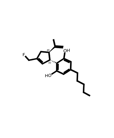 C=C(C)[C@@H]1CC(CF)=C[C@H]1c1c(O)cc(CCCCC)cc1O